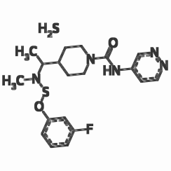 CC(C1CCN(C(=O)Nc2ccnnc2)CC1)N(C)SOc1cccc(F)c1.S